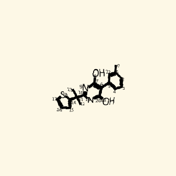 Cc1cccc(-c2c(O)nc(C(C)(C)c3cccs3)nc2O)c1